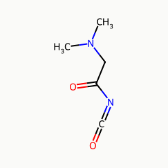 CN(C)CC(=O)N=C=O